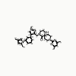 Cc1cc(C)nc(N2CCC3(CC2)NCCN(Cc2nn(C)cc2-c2cccc(-n4nc(C)cc4C)c2)C3=O)n1